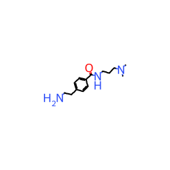 CN(C)CCCNC(=O)c1ccc(CCN)cc1